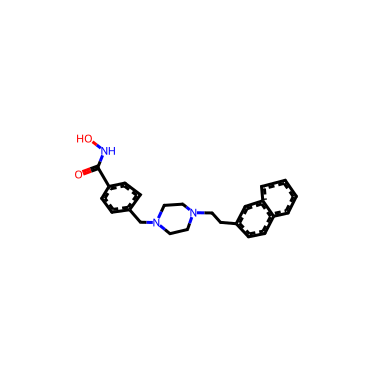 O=C(NO)c1ccc(CN2CCN(CCc3ccc4ccccc4c3)CC2)cc1